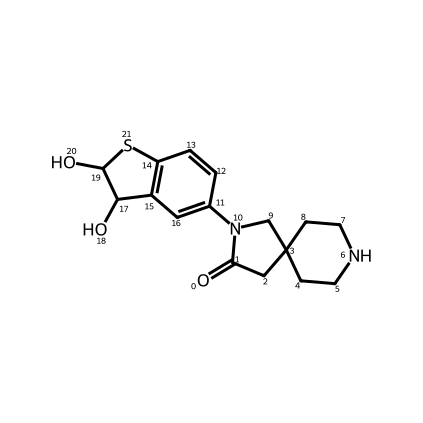 O=C1CC2(CCNCC2)CN1c1ccc2c(c1)C(O)C(O)S2